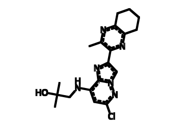 Cc1nc2c(nc1-c1cn3nc(Cl)cc(NCC(C)(C)O)c3n1)CCCC2